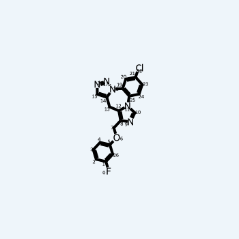 Fc1cccc(OCc2ncn3c2Cc2cnnn2-c2cc(Cl)ccc2-3)c1